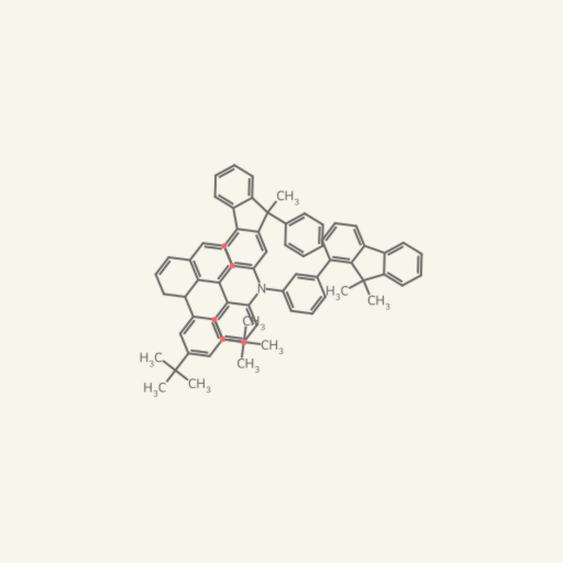 CC(C)(C)c1cc(C2CC=Cc3cccc(-c4ccccc4N(c4cccc(-c5cccc6c5C(C)(C)c5ccccc5-6)c4)c4ccc5c(c4)C(C)(c4ccccc4)c4ccccc4-5)c32)cc(C(C)(C)C)c1